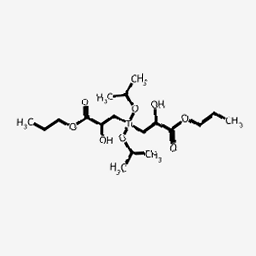 CCCOC(=O)C(O)[CH2][Ti]([CH2]C(O)C(=O)OCCC)([O]C(C)C)[O]C(C)C